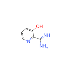 N=C(N)c1ncccc1O